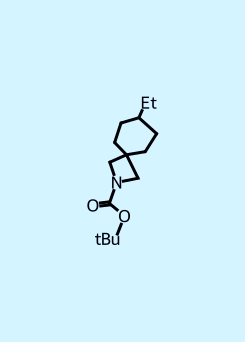 CCC1CCC2(CC1)CN(C(=O)OC(C)(C)C)C2